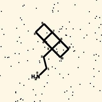 NCCC12C3C4C5C3C1C5C42